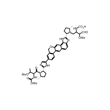 COC(=O)NC(C(=O)N1[C@@H](C)CC[C@H]1c1ncc(-c2ccc3c(c2)COc2cc4c(ccc5nc([C@@H]6CC[C@H](C)N6CC(NC(=O)O)C(C=O)OC)[nH]c54)cc2-3)[nH]1)C(C)OC